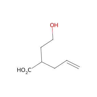 C=CCC(CCO)C(=O)O